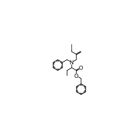 C=C(CI)CN(Cc1ccccc1)C(CC)C(=O)OCc1ccccc1